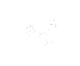 C=C(C)C(=O)OCC(CC(F)(F)C(F)(F)C(F)(C(F)(F)F)C(F)(F)F)OC(=O)COC(=O)C(C)(F)F